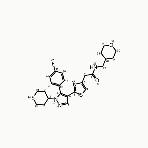 O=C(Cc1csc(-c2cnn(C3CCSCC3)c2-c2ccc(F)cc2)n1)NCC1CCOCC1